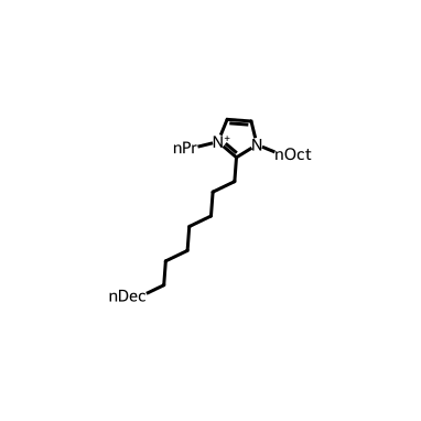 CCCCCCCCCCCCCCCCCc1n(CCCCCCCC)cc[n+]1CCC